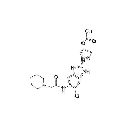 O=C(CN1CCCCC1)Nc1cc2nc(-n3cc(OC(=O)O)cn3)[nH]c2cc1Cl